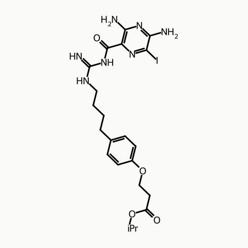 CC(C)OC(=O)CCOc1ccc(CCCCNC(=N)NC(=O)c2nc(I)c(N)nc2N)cc1